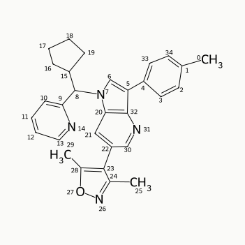 Cc1ccc(-c2cn(C(c3ccccn3)C3CCCC3)c3cc(-c4c(C)noc4C)cnc23)cc1